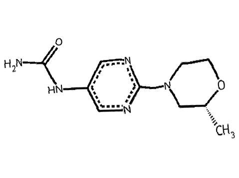 C[C@@H]1CN(c2ncc(NC(N)=O)cn2)CCO1